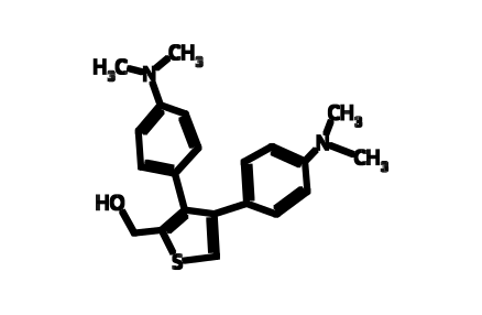 CN(C)c1ccc(-c2csc(CO)c2-c2ccc(N(C)C)cc2)cc1